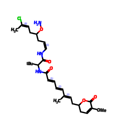 COC1=CCC(C/C=C(C)/C=C/C=C/C(=O)NC(C(=O)N/C=C\CC(C/C=C(\C)Cl)ON)C(C)(C)C)OC1=O